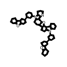 c1cc(-c2ccc3oc4ccccc4c3c2)cc(-n2c3ccccc3c3c4oc5c(ccc6c5c5ncccc5n6-c5cccc(-c6ccc7oc8ccccc8c7c6)c5)c4ccc32)c1